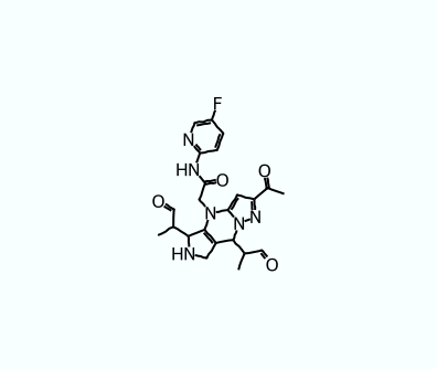 CC(=O)c1cc2n(n1)C(C(C)C=O)C1=C(C(C(C)C=O)NC1)N2CC(=O)Nc1ccc(F)cn1